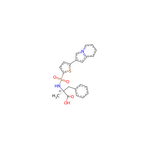 C[C@@](Cc1ccccc1)(NS(=O)(=O)c1ccc(-c2cc3ccccn3c2)s1)C(=O)O